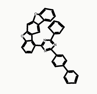 c1ccc(-c2ccc(-c3nc(-c4ccccc4)nc(-c4cccc5oc6cc7oc8ccccc8c7cc6c45)n3)cc2)cc1